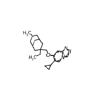 CCC1(COc2cc3nncn3cc2C2CC2)CC2CC(C)CC(C2)C1